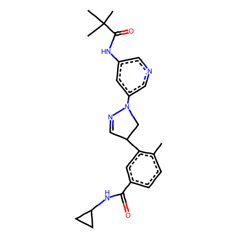 Cc1ccc(C(=O)NC2CC2)cc1C1C=NN(c2cncc(NC(=O)C(C)(C)C)c2)C1